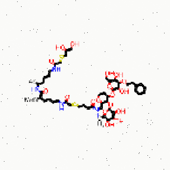 CNC(CCCCNC(=O)CSCCCC(=O)NCC1OCCC(OC2OC(CO)C(O)C(OCCC3CCCCC3)C2O)C1OC1OC(C)C(O)C(O)C1O)C(=O)NC(CCCCNC(=O)CSCC(O)CO)C(C)=O